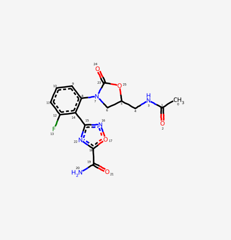 CC(=O)NCC1CN(c2cccc(F)c2-c2noc(C(N)=O)n2)C(=O)O1